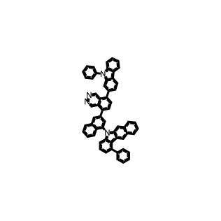 c1ccc(-c2cccc3c2c2cc4ccccc4cc2n3-c2cc(-c3ccc(-c4ccc5c6ccccc6n(-c6ccccc6)c5c4)c4cnncc34)cc3ccccc23)cc1